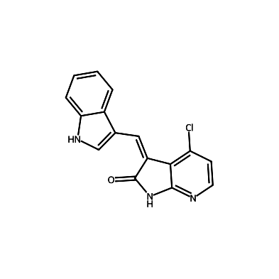 O=C1Nc2nccc(Cl)c2C1=Cc1c[nH]c2ccccc12